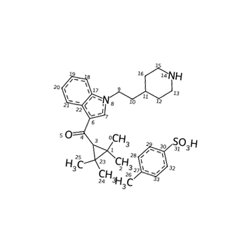 CC1(C)C(C(=O)c2cn(CCC3CCNCC3)c3ccccc23)C1(C)C.Cc1ccc(S(=O)(=O)O)cc1